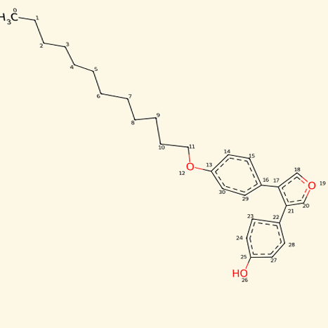 CCCCCCCCCCCCOc1ccc(-c2cocc2-c2ccc(O)cc2)cc1